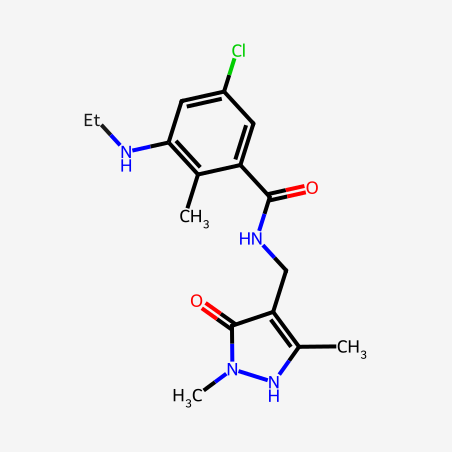 CCNc1cc(Cl)cc(C(=O)NCc2c(C)[nH]n(C)c2=O)c1C